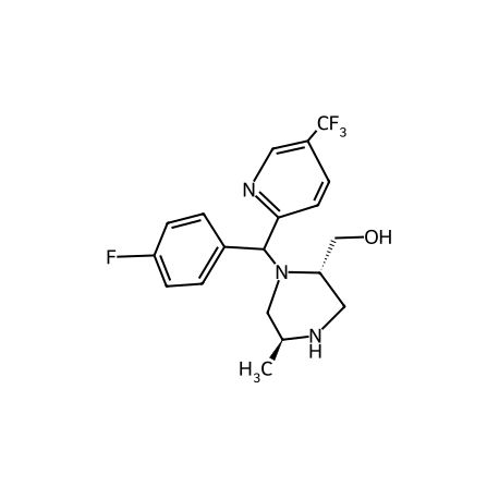 C[C@H]1CN(C(c2ccc(F)cc2)c2ccc(C(F)(F)F)cn2)[C@H](CO)CN1